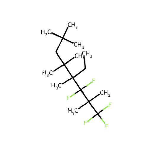 CCC(C)(C(C)(C)CC(C)(C)C)C(F)(F)C(C)(C)C(F)(F)F